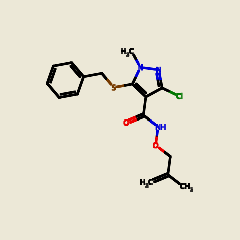 C=C(C)CONC(=O)c1c(Cl)nn(C)c1SCc1ccccc1